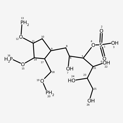 O=S(=O)(O)OC(C(O)CC1CC(OP)C(OP)C1COP)C(O)C(O)CO